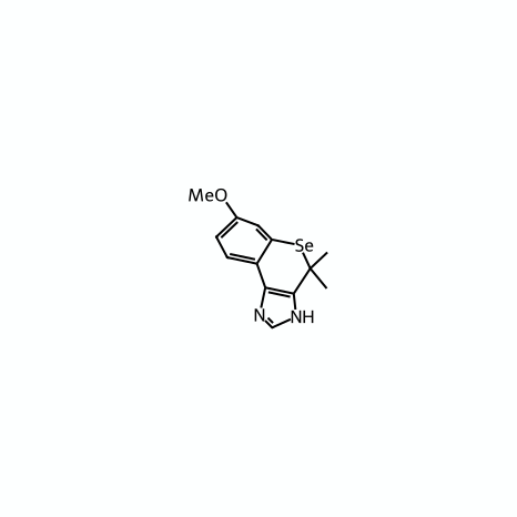 COc1ccc2c(c1)[Se]C(C)(C)c1[nH]cnc1-2